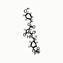 COc1ccc(COC(=O)C2CC(=O)N2C(=O)N[C@H](C)c2ccc3c(c2)OC(F)(F)O3)cc1